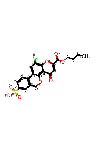 CCCCOC(=O)c1cc(=O)c2c3c(cc(Cl)c2o1)-c1ccc(S(=O)(=O)O)cc1CO3